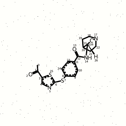 CC(=O)c1cnc(Sc2ccc(C(=O)N[C@H]3CN4CCC3CC4)cc2)s1